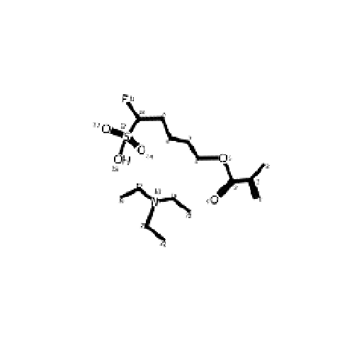 C=C(C)C(=O)OCCCCC(F)S(=O)(=O)O.CCN(CC)CC